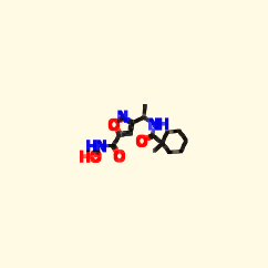 C[C@@H](NC(=O)C1(C)CCCCC1)c1cc(C(=O)NO)on1